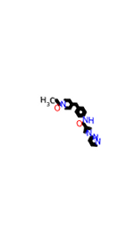 CCC(=O)N1CCC(Cc2ccc(NC(=O)C3CN(c4cccnn4)C3)cc2)CC1